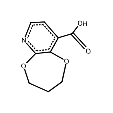 O=C(O)c1ccnc2c1OCCCO2